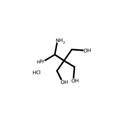 CCCC(N)C(CO)(CO)CO.Cl